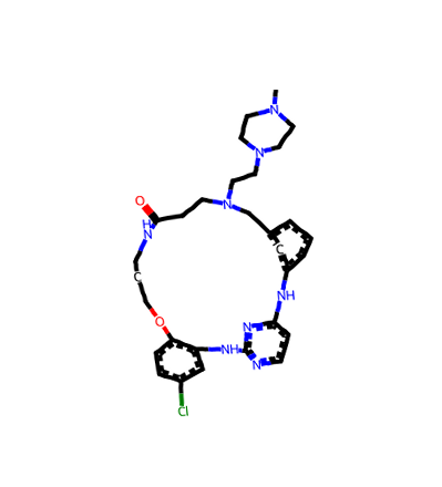 CN1CCN(CCN2CCC(=O)NCCCOc3ccc(Cl)cc3Nc3nccc(n3)Nc3cccc(c3)C2)CC1